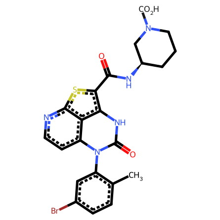 Cc1ccc(Br)cc1N1C(=O)Nc2c(C(=O)N[C@@H]3CCCN(C(=O)O)C3)sc3nccc1c23